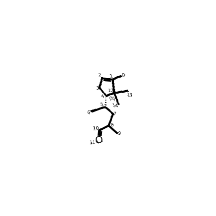 CC1=CC[C@@H](C(C)CC(C)C=O)C1(C)C